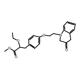 CCOC(Cc1ccc(OCCN2CC(=O)Cc3ccccc32)cc1)C(=O)OC